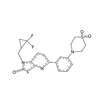 O=c1sc2nc(-c3cccc(N4CCS(=O)(=O)CC4)c3)ccc2n1CC1CC1(F)F